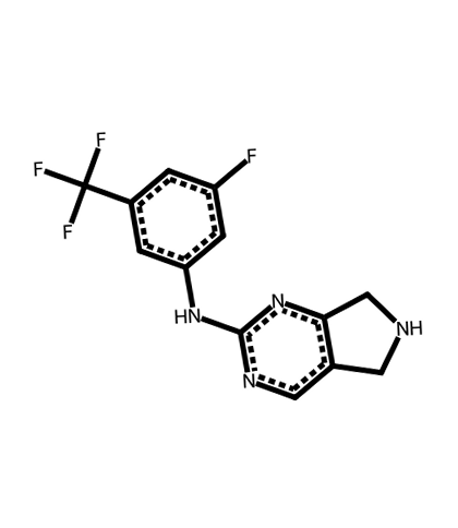 Fc1cc(Nc2ncc3c(n2)CNC3)cc(C(F)(F)F)c1